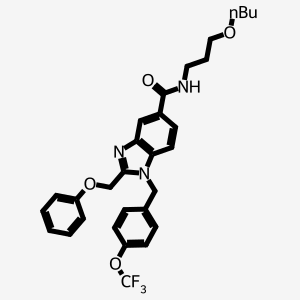 CCCCOCCCNC(=O)c1ccc2c(c1)nc(COc1ccccc1)n2Cc1ccc(OC(F)(F)F)cc1